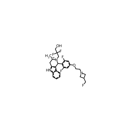 C[C@@H]1Cc2[nH]c3ccccc3c2C(c2c(F)cc(OCCN3CC(CF)C3)cc2F)N1CC(F)(F)CO